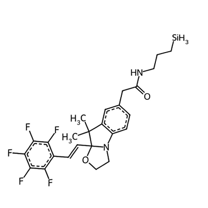 CC1(C)c2cc(CC(=O)NCCC[SiH3])ccc2N2CCOC21/C=C/c1c(F)c(F)c(F)c(F)c1F